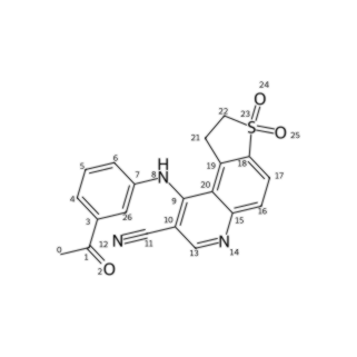 CC(=O)c1cccc(Nc2c(C#N)cnc3ccc4c(c23)CCS4(=O)=O)c1